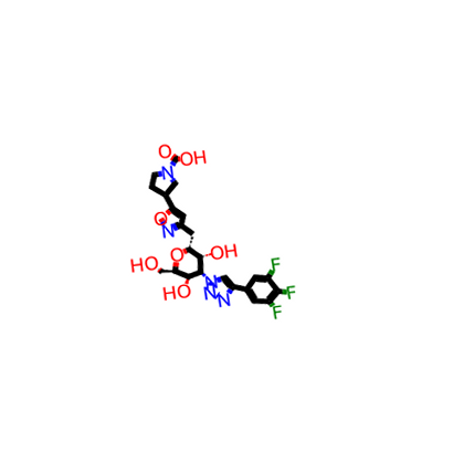 O=C(O)N1CCC(c2cc(C[C@H]3O[C@H](CO)[C@H](O)[C@H](n4cc(-c5cc(F)c(F)c(F)c5)nn4)[C@H]3O)no2)C1